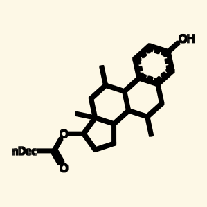 CCCCCCCCCCC(=O)OC1CCC2C3C(C)Cc4cc(O)ccc4C3C(C)CC12C